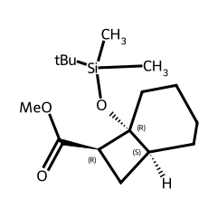 COC(=O)[C@@H]1C[C@@H]2CCCC[C@@]21O[Si](C)(C)C(C)(C)C